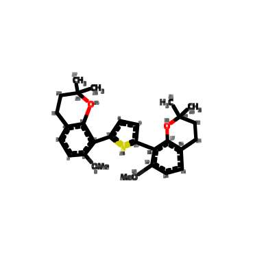 COc1ccc2c(c1-c1ccc(-c3c(OC)ccc4c3OC(C)(C)CC4)s1)OC(C)(C)CC2